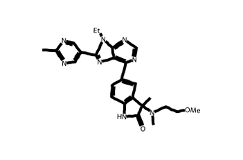 CCn1c(-c2cnc(C)nc2)nc2c(-c3ccc4c(c3)C(C)(N(C)CCOC)C(=O)N4)ncnc21